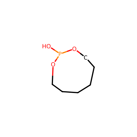 OP1OCCCCCCO1